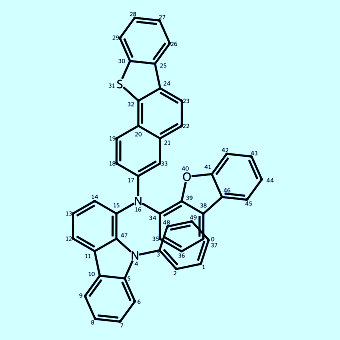 c1ccc(-n2c3ccccc3c3cccc(N(c4ccc5c(ccc6c7ccccc7sc56)c4)c4cccc5c4oc4ccccc45)c32)cc1